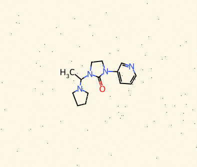 CC(N1CCCC1)N1CCN(c2cccnc2)C1=O